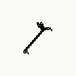 CCCCCCCCCCCCCCCCCCC[N+](CCC)(CCCC)CCCC